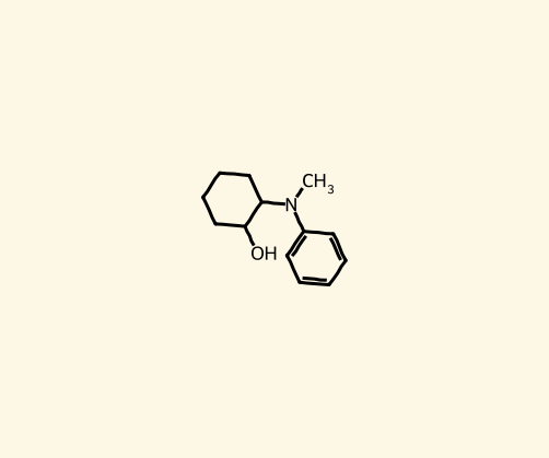 CN(c1ccccc1)C1CCCCC1O